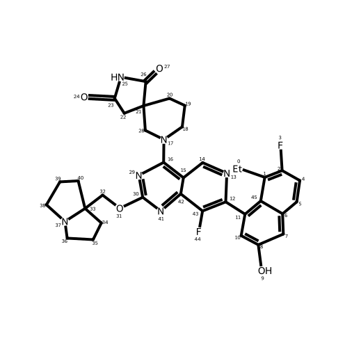 CCc1c(F)ccc2cc(O)cc(-c3ncc4c(N5CCCC6(CC(=O)NC6=O)C5)nc(OCC56CCCN5CCC6)nc4c3F)c12